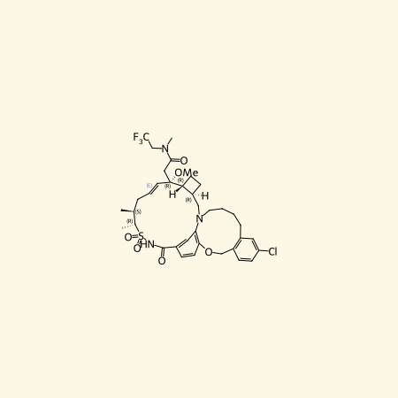 CO[C@@]1(CC(=O)N(C)CC(F)(F)F)/C=C/C[C@H](C)[C@@H](C)S(=O)(=O)NC(=O)c2ccc3c(c2)N(CCCCc2cc(Cl)ccc2CO3)C[C@@H]2CC[C@H]21